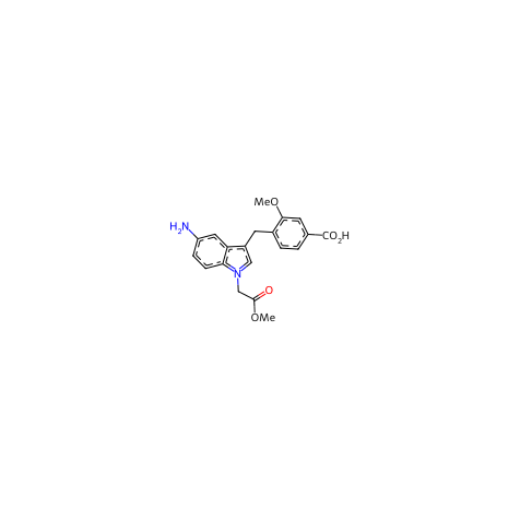 COC(=O)Cn1cc(Cc2ccc(C(=O)O)cc2OC)c2cc(N)ccc21